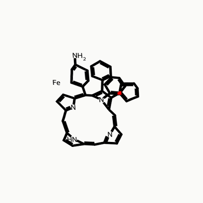 Nc1ccc(-c2c3nc(cc4ccc(cc5nc(cc6c(-c7ccccc7)c(-c7ccccc7)c2n6-c2ccccc2)C=C5)[nH]4)C=C3)cc1.[Fe]